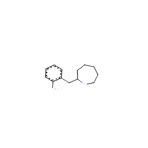 COc1ccccc1CC1CCCCCN1